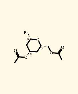 CC(=O)OC[C@@H]1C[C@H](OC(C)=O)C[C@H](Br)O1